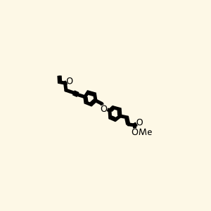 C=CC(=O)CC#Cc1ccc(COc2ccc(/C=C/C(=O)OC)cc2)cc1